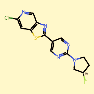 F[C@@H]1CCN(c2ncc(-c3nc4cnc(Cl)cc4s3)cn2)C1